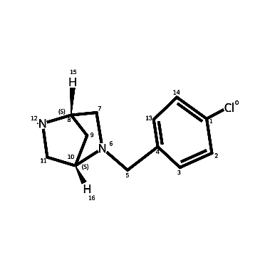 Clc1ccc(CN2C[C@@H]3C[C@H]2C[N]3)cc1